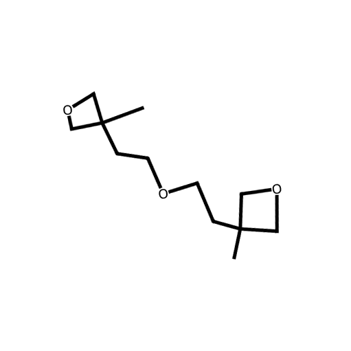 CC1(CCOCCC2(C)COC2)COC1